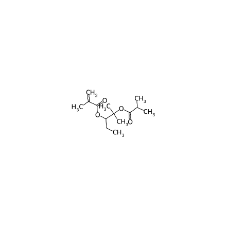 C=C(C)C(=O)OC(CC)C(C)(C)OC(=O)C(C)C